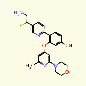 Cc1cc(Oc2cc(C#N)ccc2-c2ccc([C@@H](F)CN)cn2)cc(N2CCOCC2)n1